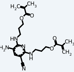 C=C(C)C(=O)OCCCNc1nc(NCCCOC(=O)C(=C)C)c(C#N)cc1N